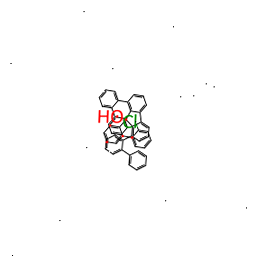 OC1(c2ccccc2-c2ccccc2Cl)c2c(-c3ccccc3-c3ccccc3)cccc2-c2cccc(-c3ccccc3-c3ccccc3)c21